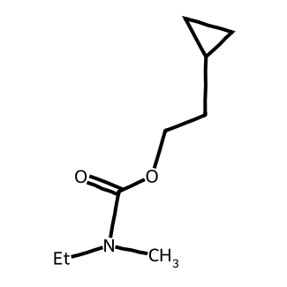 CCN(C)C(=O)OCCC1CC1